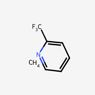 C.FC(F)(F)c1ccccn1